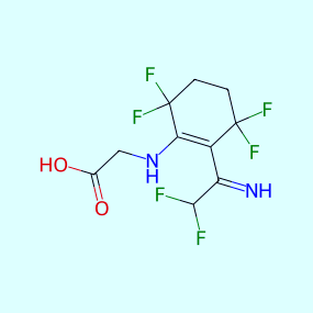 N=C(C1=C(NCC(=O)O)C(F)(F)CCC1(F)F)C(F)F